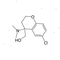 CN(C)C1(CO)CCOc2ccc(Cl)cc21